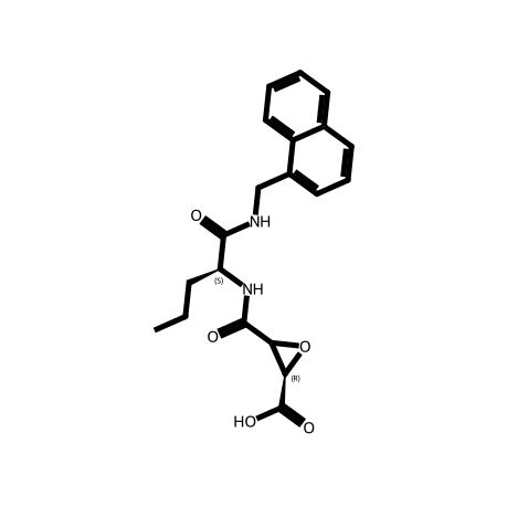 CCC[C@H](NC(=O)C1O[C@H]1C(=O)O)C(=O)NCc1cccc2ccccc12